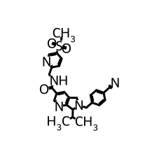 CCS(=O)(=O)c1ccc(CNC(=O)c2cnc3c(c2)CN(Cc2ccc(C#N)cc2)C3C(C)C)nc1